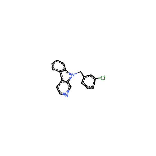 Clc1cccc(Cn2c3ccccc3c3ccncc32)c1